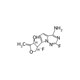 C=C1OC[C@](F)(c2ccc3c(N)nc(F)nn23)[C@@H]1O